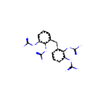 N=C(N)Nc1cccc(Cc2cccc(NC(=N)N)c2NC(=N)N)c1NC(=N)N